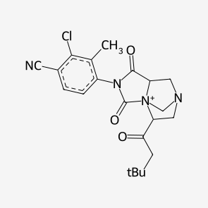 Cc1c(N2C(=O)C3CN4CC(C(=O)CC(C)(C)C)[N+]3(C4)C2=O)ccc(C#N)c1Cl